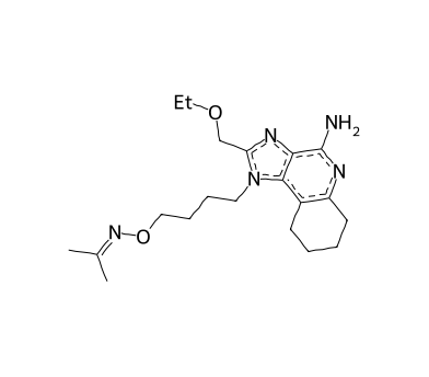 CCOCc1nc2c(N)nc3c(c2n1CCCCON=C(C)C)CCCC3